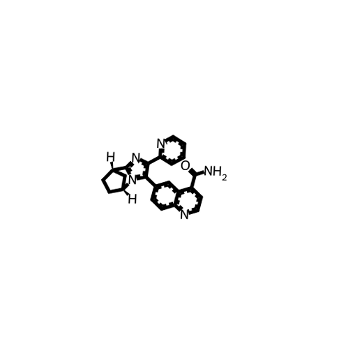 NC(=O)c1ccnc2ccc(-c3c(-c4ccccn4)nc4n3[C@@H]3CC[C@H]4C3)cc12